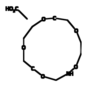 C1COCCOCNOCCOCCO1.CC(=O)O